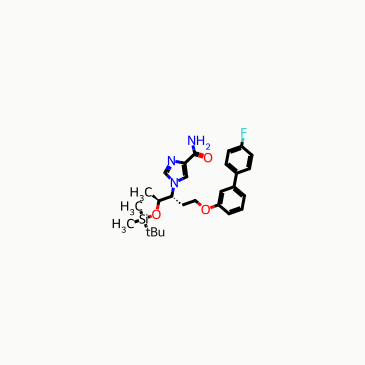 C[C@H](O[Si](C)(C)C(C)(C)C)[C@@H](CCOc1cccc(-c2ccc(F)cc2)c1)n1cnc(C(N)=O)c1